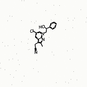 Cc1nc2n(CC(O)c3ccccc3)cc(Cl)cc-2c1CC#N